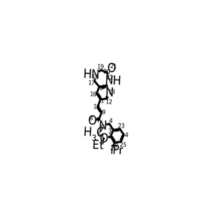 CCOc1c(CN(C)C(=O)/C=C/c2cnc3c(c2)CNCC(=O)N3)cccc1C(C)C